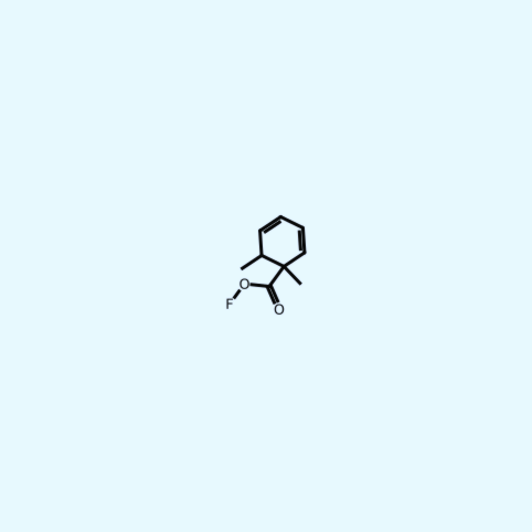 CC1C=CC=CC1(C)C(=O)OF